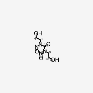 O=NN(CCO)C(=O)N(CCO)N=O